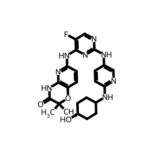 CC1(C)Oc2ccc(Nc3nc(Nc4ccc(NC5CCC(O)CC5)nc4)ncc3F)nc2NC1=O